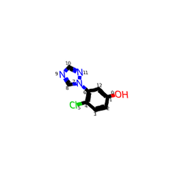 Oc1ccc(Cl)c(-n2cncn2)c1